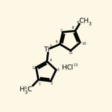 CC1=CC[C]([Ti][C]2=CC(C)=CC2)=C1.Cl